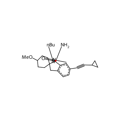 CCCCN1C(=O)C2(N=C1N)c1cc(C#CC3CC3)ccc1CC21CCC(OC)CC1